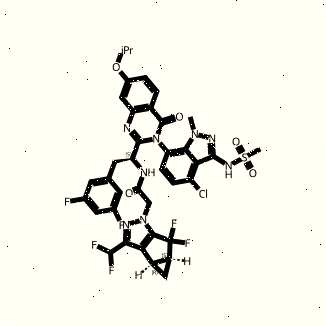 CC(C)Oc1ccc2c(=O)n(-c3ccc(Cl)c4c(NS(C)(=O)=O)nn(C)c34)c([C@H](Cc3cc(F)cc(F)c3)NC(=O)Cn3nc(C(F)F)c4c3C(F)(F)[C@H]3C[C@@H]43)nc2c1